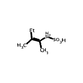 CCC(C)=C(C)[SiH2]S(=O)(=O)O